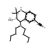 CCCCN(CCCC)[C@@H]1c2cc(C#N)ccc2OC(C)(C)[C@H]1O